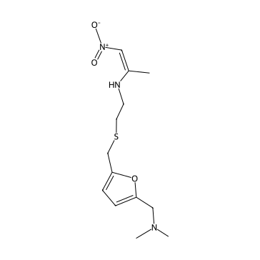 C/C(=C/[N+](=O)[O-])NCCSCc1ccc(CN(C)C)o1